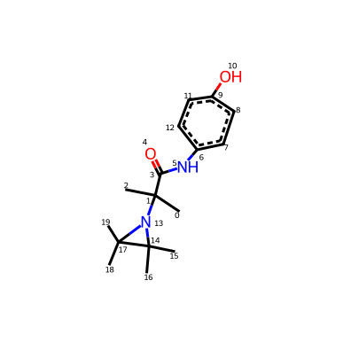 CC(C)(C(=O)Nc1ccc(O)cc1)N1C(C)(C)C1(C)C